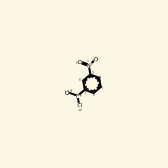 O=[N+]([O-])c1cccc(P(Cl)Cl)c1